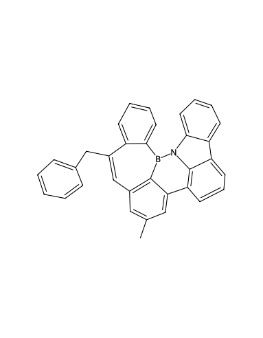 Cc1cc2c3c(c1)-c1cccc4c5ccccc5n(c14)B3c1ccccc1C(Cc1ccccc1)=C2